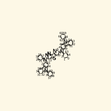 c1ccc(N(c2cnc3c(c2)sc2cc(N(c4ccccc4)c4ccc5c(c4)c4ccccc4n5-c4ccccc4)nnc23)c2ccc3c(c2)c2ccccc2n3-c2ccccc2)cc1